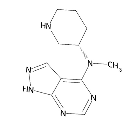 CN(c1ncnc2[nH]ncc12)[C@H]1CCCNC1